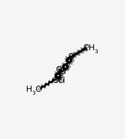 CCCCCCCCCOc1ccc(C(=O)Oc2ccc(-c3ccc(OCCCCCCCC)cc3)cc2)cc1Cl